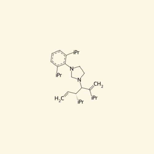 C=C[C@@H](C(C)C)C(C(=C)C(C)C)N1CCN(c2c(C(C)C)cccc2C(C)C)C1